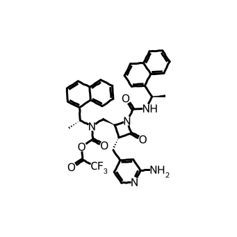 C[C@H](c1cccc2ccccc12)N(C[C@@H]1[C@@H](Cc2ccnc(N)c2)C(=O)N1C(=O)N[C@H](C)c1cccc2ccccc12)C(=O)OC(=O)C(F)(F)F